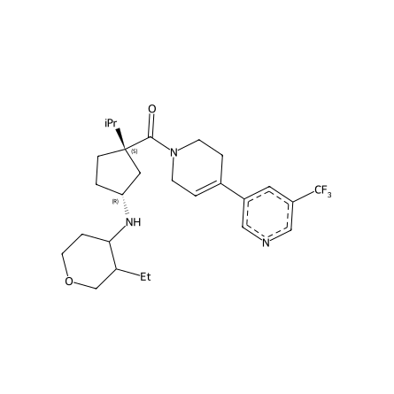 CCC1COCCC1N[C@@H]1CC[C@@](C(=O)N2CC=C(c3cncc(C(F)(F)F)c3)CC2)(C(C)C)C1